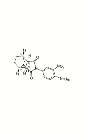 CC(=O)Nc1ccc(N2C(=O)[C@@H]3[C@H]4CC[C@H](C(=O)C4)[C@@H]3C2=O)cc1[N+](=O)[O-]